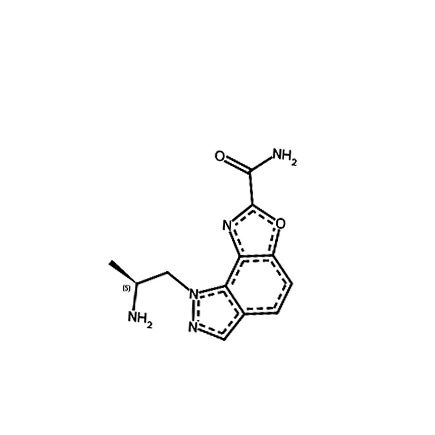 C[C@H](N)Cn1ncc2ccc3oc(C(N)=O)nc3c21